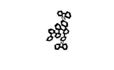 c1ccc(-c2ccccc2-c2ccccc2-c2ccccc2-c2cc(-c3ccc(-n4c5ccccc5c5ccccc54)cc3)ccc2-c2ccc(-n3c4ccccc4c4ccccc43)cc2)cc1